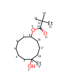 CCC1(O)CCCCCC(OC(=O)C(C)(C)CC)CCC1